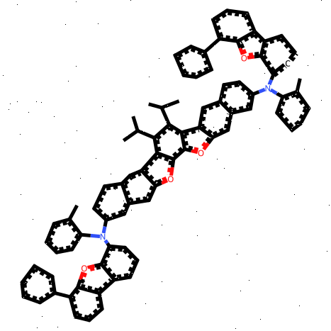 Cc1ccccc1N(c1ccc2cc3c(cc2c1)oc1c2oc4cc5cc(N(c6ccccc6C)c6cccc7c6oc6c(-c8ccccc8)cccc67)ccc5cc4c2c(C(C)C)c(C(C)C)c31)c1cccc2c1oc1c(-c3ccccc3)cccc12